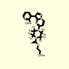 [2H]C1([2H])N(C(=O)OCCOC)C([2H])([2H])C([2H])([2H])N(c2ccn3ncc(-c4cccnc4OC)c3n2)C1([2H])[2H]